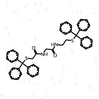 O=C(CNC(=O)CSC(c1ccccc1)(c1ccccc1)c1ccccc1)NCCSC(c1ccccc1)(c1ccccc1)c1ccccc1